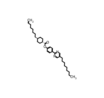 C=CCCCCCC[C@H]1CC[C@H](C(=O)Oc2ccc(-c3ncc(CCCCCCCCC)cn3)cc2)CC1